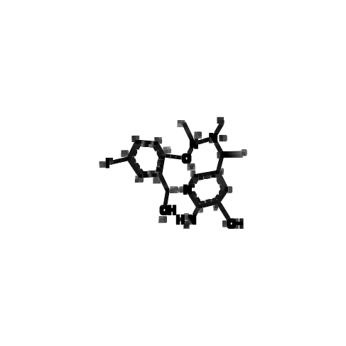 C=C(c1cnc(N)c(O)c1)N(C)N(C)Oc1ccc(F)cc1CO